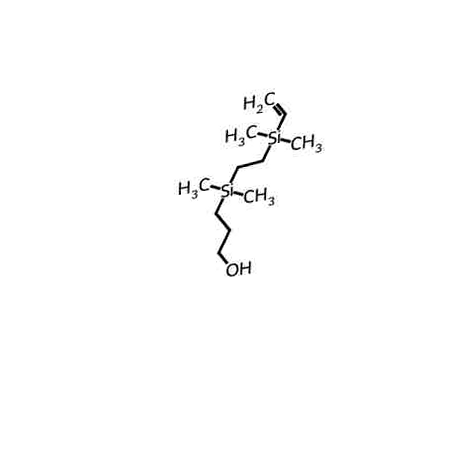 C=C[Si](C)(C)CC[Si](C)(C)CCCO